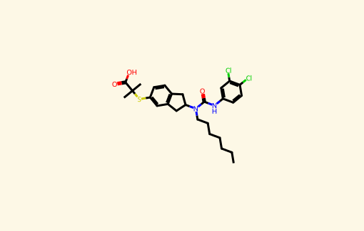 CCCCCCCN(C(=O)Nc1ccc(Cl)c(Cl)c1)C1Cc2ccc(SC(C)(C)C(=O)O)cc2C1